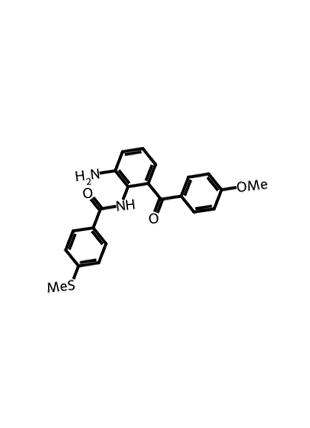 COc1ccc(C(=O)c2cccc(N)c2NC(=O)c2ccc(SC)cc2)cc1